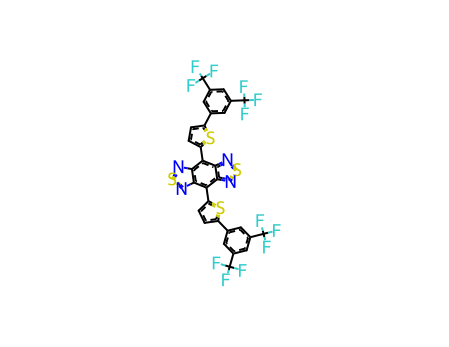 FC(F)(F)c1cc(-c2ccc(-c3c4c(c(-c5ccc(-c6cc(C(F)(F)F)cc(C(F)(F)F)c6)s5)c5nsnc35)N=S=N4)s2)cc(C(F)(F)F)c1